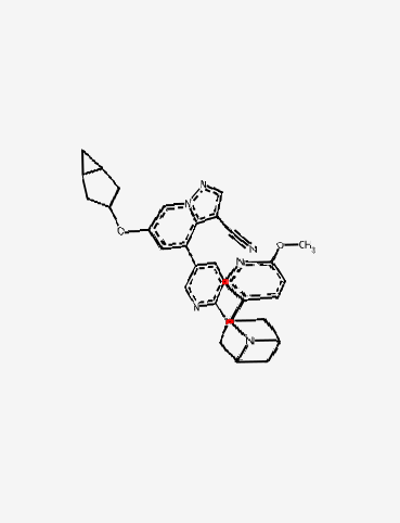 COc1ccc(CN2C3CC2CN(c2ccc(-c4cc(OC5CC6CC6C5)cn5ncc(C#N)c45)cn2)C3)cn1